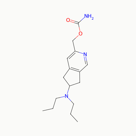 CCCN(CCC)C1Cc2cnc(COC(N)=O)cc2C1